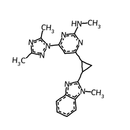 CNc1nc(C2CC2c2nc3ccccc3n2C)cc(-n2nc(C)nc2C)n1